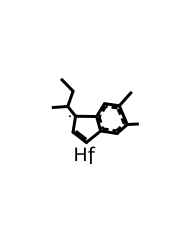 CCC(C)[C]1C=Cc2cc(C)c(C)cc21.[Hf]